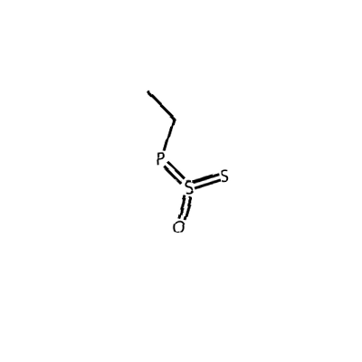 CCP=S(=O)=S